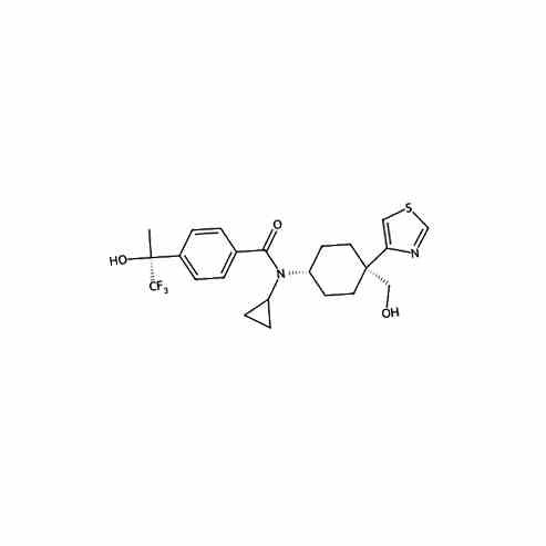 C[C@](O)(c1ccc(C(=O)N(C2CC2)[C@H]2CC[C@](CO)(c3cscn3)CC2)cc1)C(F)(F)F